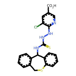 O=C(O)c1cnc(NNC(=S)NC2c3ccccc3CSc3ccccc32)c(Cl)c1